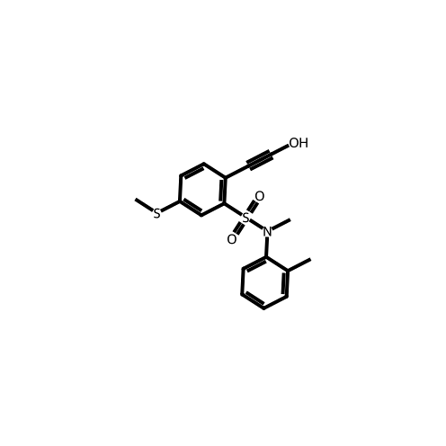 CSc1ccc(C#CO)c(S(=O)(=O)N(C)c2ccccc2C)c1